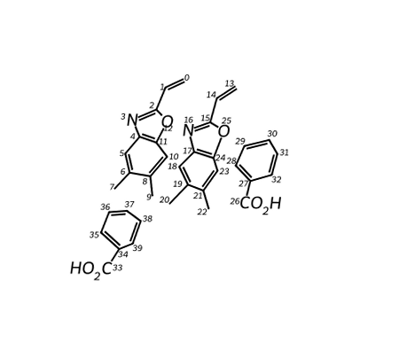 C=Cc1nc2cc(C)c(C)cc2o1.C=Cc1nc2cc(C)c(C)cc2o1.O=C(O)c1ccccc1.O=C(O)c1ccccc1